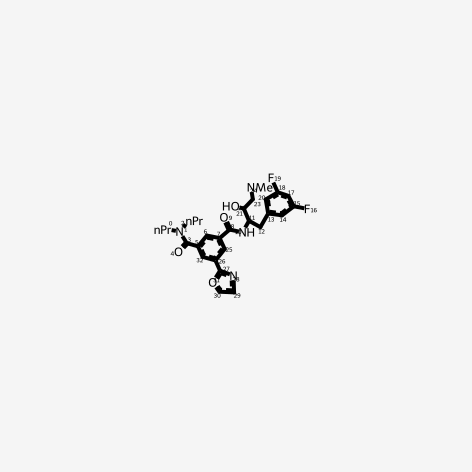 CCCN(CCC)C(=O)c1cc(C(=O)NC(Cc2cc(F)cc(F)c2)C(O)CNC)cc(-c2ncco2)c1